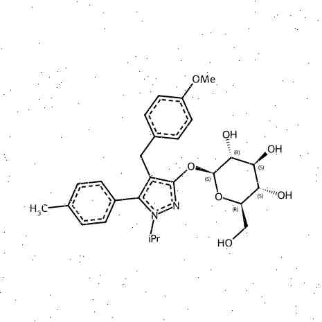 COc1ccc(Cc2c(O[C@@H]3O[C@H](CO)[C@@H](O)[C@H](O)[C@H]3O)nn(C(C)C)c2-c2ccc(C)cc2)cc1